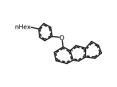 CCCCCCc1ccc(Oc2cccc3cc4ccccc4cc23)cc1